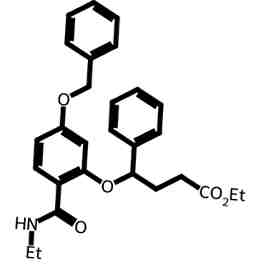 CCNC(=O)c1ccc(OCc2ccccc2)cc1OC(CCC(=O)OCC)c1ccccc1